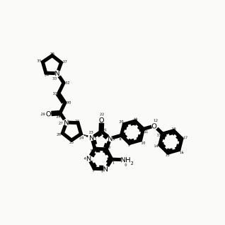 Nc1ncnc2c1n(-c1ccc(Oc3ccccc3)cc1)c(=O)n2[C@@H]1CCN(C(=O)/C=C/CN2CCCC2)C1